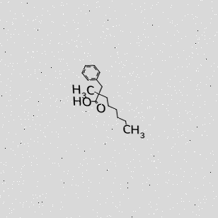 CCCCCCC(C)(Cc1ccccc1)C(=O)O